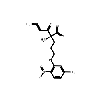 C/C=C/C(=O)[C@@](N)(CCCNc1cc(C)ccc1[N+](=O)[O-])C(=O)O